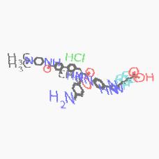 Cc1cc(C(=O)NC2CCC(N(C)C)CC2)ccc1-c1ccc(C[C@H](NC(=O)C2CCC(CN)CC2)C(=O)Nc2ccc(-c3nc(C(F)(F)C(F)(F)C(=O)O)n[nH]3)cc2)cc1.Cl